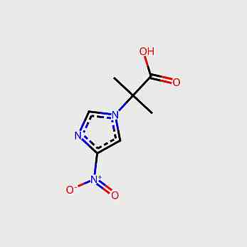 CC(C)(C(=O)O)n1cnc([N+](=O)[O-])c1